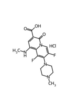 CNc1cc(C(=O)O)c(=O)n2cc(F)c(N3CCN(C)CC3)c(F)c12.Cl